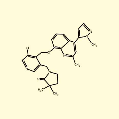 Cc1cc(-c2ccnn2C)c2cccc(OCc3c(Cl)cncc3CN3CCC(C)(C)C3=O)c2n1